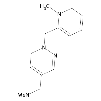 CNCC1=CCN(CC2=CC=CCN2C)N=C1